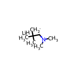 [CH2]C(C)(C)CN(C)C.[LiH]